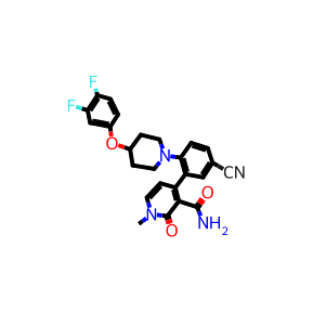 Cn1ccc(-c2cc(C#N)ccc2N2CCC(Oc3ccc(F)c(F)c3)CC2)c(C(N)=O)c1=O